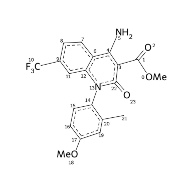 COC(=O)c1c(N)c2ccc(C(F)(F)F)cc2n(-c2ccc(OC)cc2C)c1=O